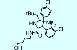 CC(C)(C)C[C@@H]1N[C@@H](C(=O)NCCCCO)[C@H](c2cccc(Cl)c2F)[C@@]1(N)c1ccc(Cl)cc1